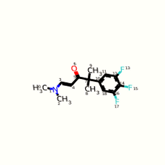 CN(C)C=CC(=O)C(C)(C)c1cc(F)c(F)c(F)c1